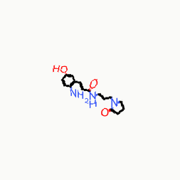 Nc1ccc(O)cc1C=CC(=O)NCCCN1CCCC1=O